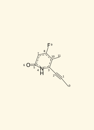 CC#Cc1[nH]c(=O)cc(F)c1C